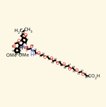 C=C(C)[C@H]1Cc2c(ccc3c2OC2COc4cc(OC)c(OC)cc4[C@@H]2/C3=N/OCC(=O)NCCOCCOCCOCCOCCOCCOCCOCCOCCC(=O)O)O1